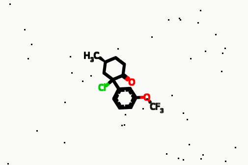 C[C@H]1CCC(=O)C(Cl)(c2cccc(OC(F)(F)F)c2)C1